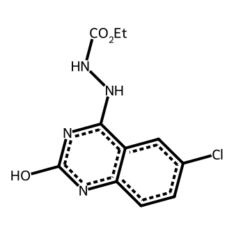 CCOC(=O)NNc1nc(O)nc2ccc(Cl)cc12